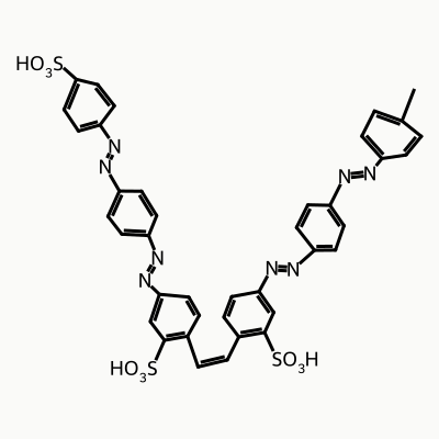 Cc1ccc(N=Nc2ccc(N=Nc3ccc(/C=C\c4ccc(N=Nc5ccc(N=Nc6ccc(S(=O)(=O)O)cc6)cc5)cc4S(=O)(=O)O)c(S(=O)(=O)O)c3)cc2)cc1